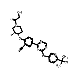 CC(C)(O)c1ccc(Nc2ncnc(-c3ccc(O[C@H]4CCN(C(=O)CO)C[C@@H]4F)c(C#N)c3)n2)cn1